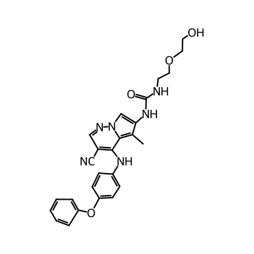 Cc1c(NC(=O)NCCOCCO)cn2ncc(C#N)c(Nc3ccc(Oc4ccccc4)cc3)c12